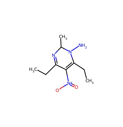 CCC1=NC(C)N(N)C(CC)=C1[N+](=O)[O-]